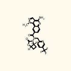 Cn1ncc2c(N)nc3ccc(C(=O)N(Cc4ccc(C(F)(F)F)cn4)N4C(=O)O[C@H]5CC[C@H]54)cc3c21